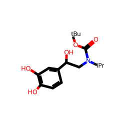 CC(C)N(CC(O)c1ccc(O)c(O)c1)C(=O)OC(C)(C)C